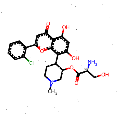 CN1CCC(c2c(O)cc(O)c3c(=O)cc(-c4ccccc4Cl)oc23)C(OC(=O)[C@@H](N)CO)C1